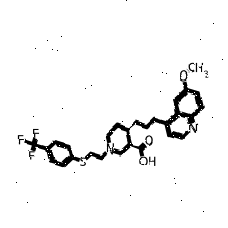 COc1ccc2nccc(CCC[C@@H]3CCN(CCSc4ccc(C(F)(F)F)cc4)C[C@@H]3C(=O)O)c2c1